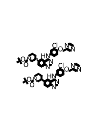 CC(C)(C)OC(=O)N1CCCC(c2ccc3ncnc(Nc4ccc(OCc5cnccn5)c(Cl)c4)c3c2)C1.CC(C)(C)OC(=O)N1CCC[C@H](c2ccc3ncnc(Nc4ccc(OCc5cnccn5)c(Cl)c4)c3c2)C1